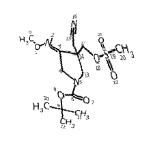 CON=C1CN(C(=O)OC(C)(C)C)CC1(C#N)COS(C)(=O)=O